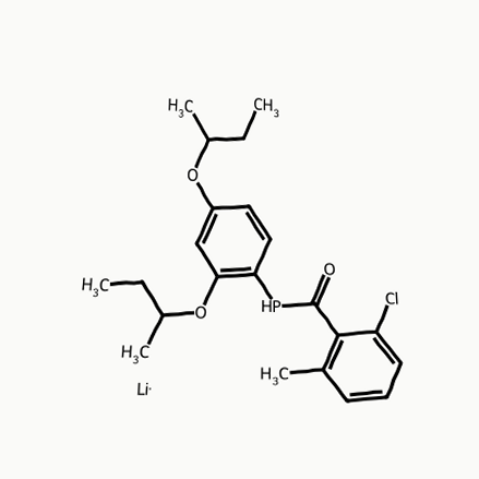 CCC(C)Oc1ccc(PC(=O)c2c(C)cccc2Cl)c(OC(C)CC)c1.[Li]